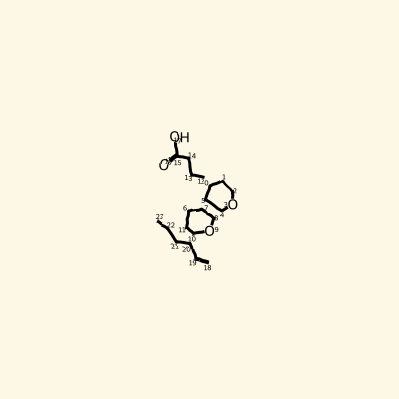 C1CCOCC1.C1CCOCC1.CCCC(=O)O.CCCCCC